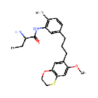 CCCOc1cc2c(cc1CCCc1ccc(OC)c(NC(=O)C(N)CC(C)C)c1)OCCS2